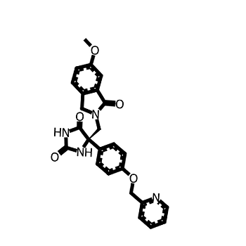 COc1ccc2c(c1)C(=O)N(C[C@@]1(c3ccc(OCc4ccccn4)cc3)NC(=O)NC1=O)C2